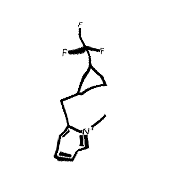 C[n+]1ccccc1CC1CC1C(F)(F)F